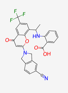 CC(Nc1ccccc1C(=O)O)c1cc(C(F)(F)F)cc2c(=O)cc(N3Cc4ccc(C#N)cc4C3)oc12